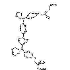 COCCOC(=O)CCc1ccc(N(c2ccccc2)c2ccc(-c3ccc(N(c4ccccc4)c4ccc(CCC(=O)OC)cc4)cc3)cn2)cc1